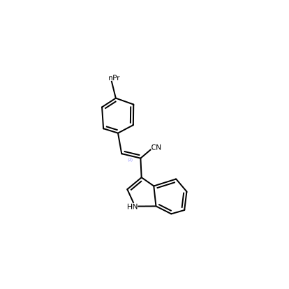 CCCc1ccc(/C=C(\C#N)c2c[nH]c3ccccc23)cc1